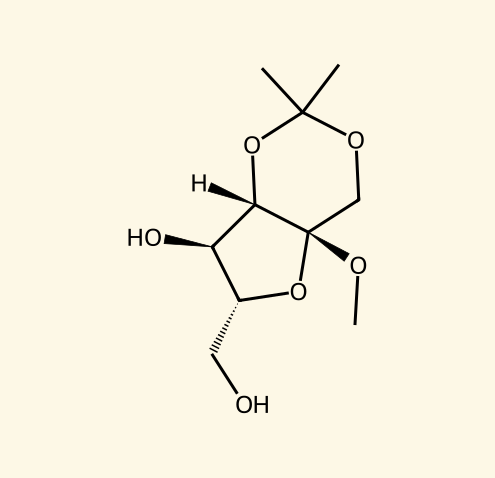 CO[C@]12COC(C)(C)O[C@H]1[C@H](O)[C@@H](CO)O2